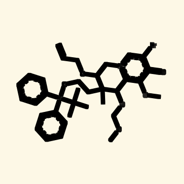 C=CCOC1Cn2cc(Br)c(=O)c(OC)c2C(OCOC)C1(C)CCO[Si](c1ccccc1)(c1ccccc1)C(C)(C)C